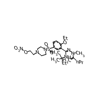 C=C(CCC)N(C)/N=C(\NC(C)(C)CC)c1cc(S(=O)(=O)N2CCN(CCO[N+](=O)[O-])CC2)ccc1OCC